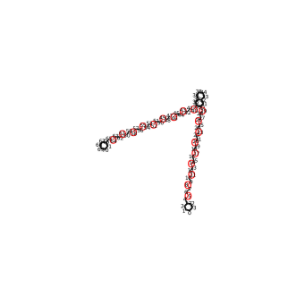 c1ccc(COCCOCCOCCOCCOCCOCCOCCOCCOc2cc3ccccc3cc2OCCOCCOCCOCCOCCOCCOCCOCCOCc2ccccc2)cc1